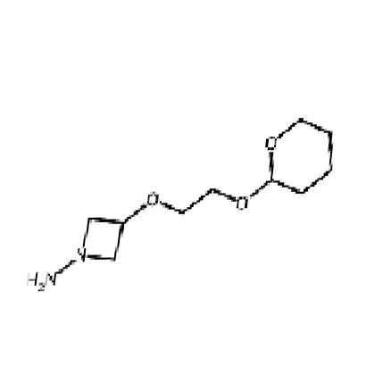 NN1CC(OCCOC2CCCCO2)C1